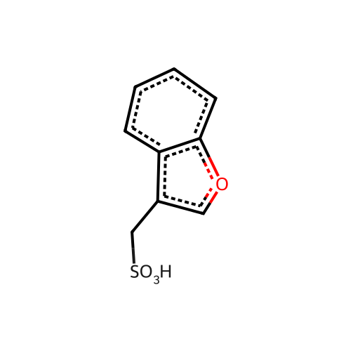 O=S(=O)(O)Cc1coc2ccccc12